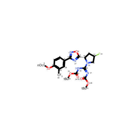 CCCCCCCCOc1ccc(-c2noc([C@@H]3C[C@@H](F)CN3/C(=N/C(=O)OC(C)(C)C)NC(=O)OC(C)(C)C)n2)cc1C(F)(F)F